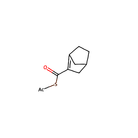 CC(=O)SC(=O)C1=C2CCC(C2)C1